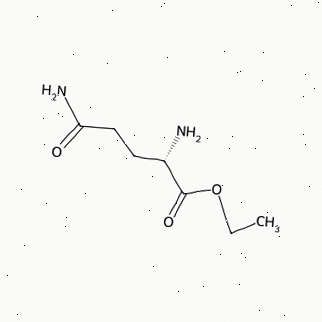 CCOC(=O)[C@@H](N)CCC(N)=O